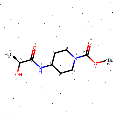 C[C@H](O)C(=O)NC1CCN(C(=O)OC(C)(C)C)CC1